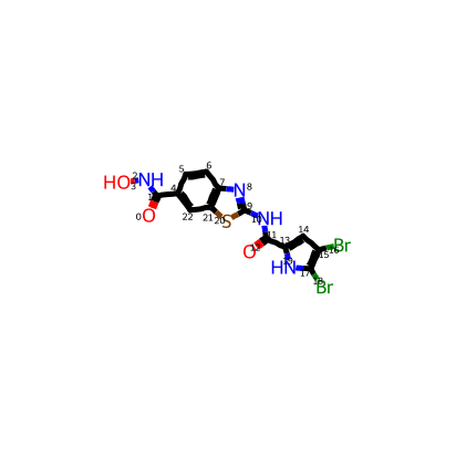 O=C(NO)c1ccc2nc(NC(=O)c3cc(Br)c(Br)[nH]3)sc2c1